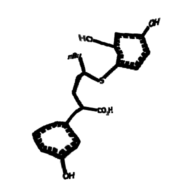 CCCCC(CC(C(=O)O)c1cccc(O)c1)Sc1ccc(O)cc1O